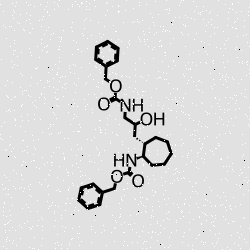 O=C(NCC(O)C[C@@H]1CCCCC[C@H]1NC(=O)OCc1ccccc1)OCc1ccccc1